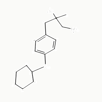 CC(O)(CN)Cc1ccc(SC2CCCCC2)cc1